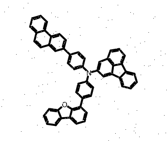 c1ccc2c(c1)-c1cccc3cc(N(c4ccc(-c5ccc6c(ccc7ccccc76)c5)cc4)c4ccc(-c5cccc6c5oc5ccccc56)cc4)cc-2c13